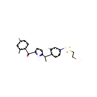 Cc1cc(Br)ccc1C(=O)c1ccc(C(C)c2ccc(NS(=O)(=O)CCO)cc2F)[nH]1